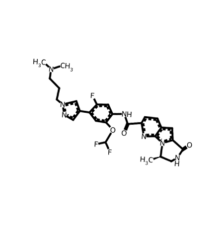 C[C@@H]1CNC(=O)c2cc3ccc(C(=O)Nc4cc(F)c(-c5cnn(CCCN(C)C)c5)cc4OC(F)F)nc3n21